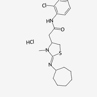 Cc1ccc(NC(=O)CC2CSC(=NC3CCCCCC3)N2C)c(Cl)c1.Cl